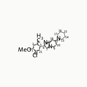 COc1cc(C)c(-c2cn3ccc(N4CCCCC4)cc3n2)cc1Cl